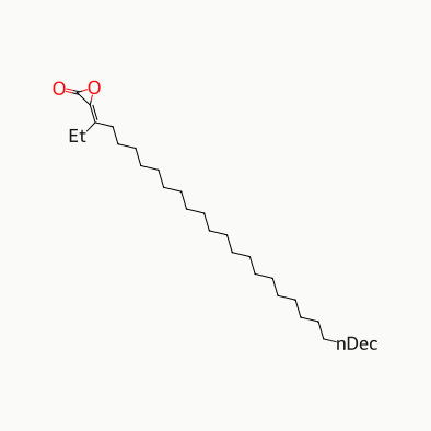 CCCCCCCCCCCCCCCCCCCCCCCCCCCCCCC(CC)=C1OC1=O